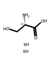 N[C@@H](CO)C(=O)O.[KH].[KH]